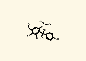 CC(C)(c1ccc(O)cc1)c1c(Br)cc(OBr)c(Br)c1Br.CCCOCCC